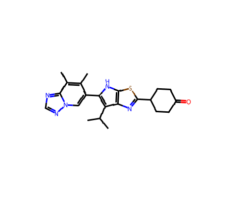 Cc1c(-c2[nH]c3sc(C4CCC(=O)CC4)nc3c2C(C)C)cn2ncnc2c1C